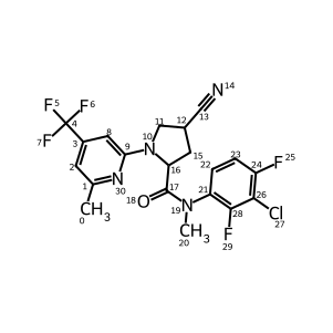 Cc1cc(C(F)(F)F)cc(N2CC(C#N)CC2C(=O)N(C)c2ccc(F)c(Cl)c2F)n1